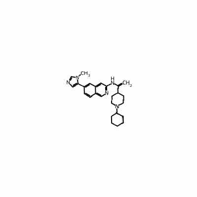 C=C(Nc1cc2cc(-c3cncn3C)ccc2cn1)C1CCN(C2CCCCC2)CC1